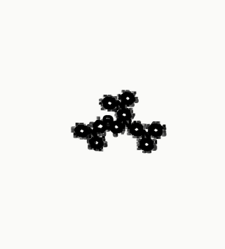 C1=CC2Oc3c(ccc4c3c3cc(N(c5ccccc5)c5ccccc5)ccc3n4-c3ccc(N(c4ccccc4)c4ccccc4)cc3)C2C=C1N(c1ccccc1)c1ccccc1